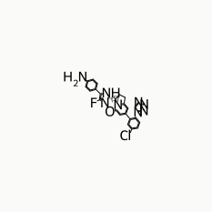 Nc1ccc(-c2[nH]c([C@@H]3CCc4cc(-c5cc(Cl)ccc5-n5cnnn5)cc(=O)n43)nc2F)cc1